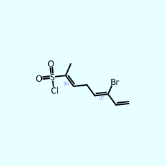 C=C/C(Br)=C/C/C=C(\C)S(=O)(=O)Cl